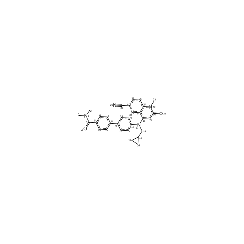 CN(C)C(=O)c1ccc(-c2ccc(N(CC3CC3)c3cc(=O)n(C)c4ccc(C#N)nc34)cc2)cc1